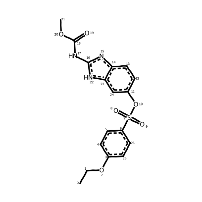 CCOc1ccc(S(=O)(=O)Oc2ccc3nc(NC(=O)OC)[nH]c3c2)cc1